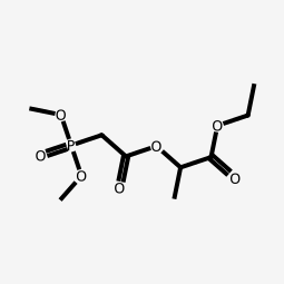 CCOC(=O)C(C)OC(=O)CP(=O)(OC)OC